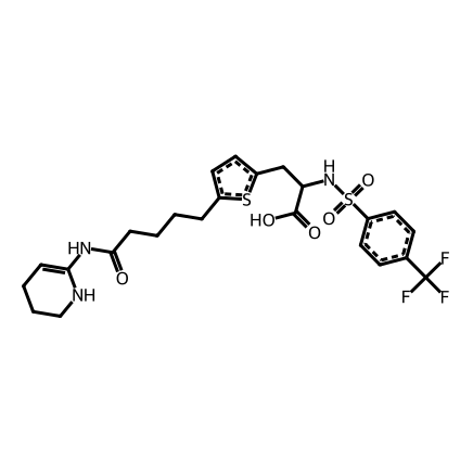 O=C(CCCCc1ccc(CC(NS(=O)(=O)c2ccc(C(F)(F)F)cc2)C(=O)O)s1)NC1=CCCCN1